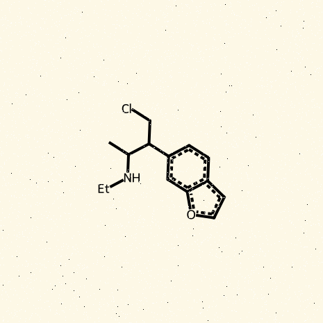 CCNC(C)C(CCl)c1ccc2ccoc2c1